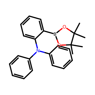 CC1(C)OB(c2ccccc2N(c2ccccc2)c2ccccc2)OC1(C)C